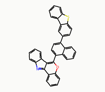 c1ccc2c3c(-c4ccc(-c5ccc6sc7ccccc7c6c5)c5ccccc45)oc4ccccc4c-3nc2c1